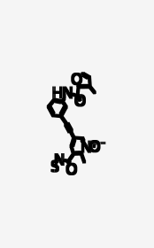 Cc1ccoc1C(=O)Nc1cccc(C#Cc2cc(C(=O)N=S)c(C)[n+]([O-])c2)c1